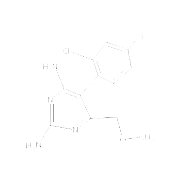 COCc1nc(N)nc(N)c1-c1ccc(Cl)cc1Cl